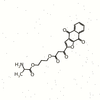 CC(N)C(=O)OCCCOC(=O)CC(=O)c1cc2c(o1)C(=O)c1ccccc1C2=O